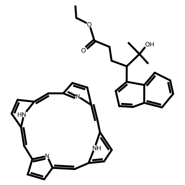 C1=Cc2cc3ccc(cc4nc(cc5ccc(cc1n2)[nH]5)C=C4)[nH]3.CCOC(=O)CCC(c1cccc2ccccc12)C(C)(C)O